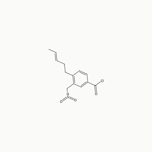 CC=CCCc1ccc(C(=O)Cl)cc1C[SH](=O)=O